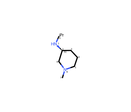 CC(C)N[C@H]1CCCN(C)C1